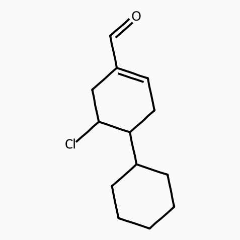 O=CC1=CCC(C2CCCCC2)C(Cl)C1